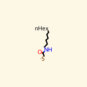 CCCCCCCCCCCCNC(=O)C[S]